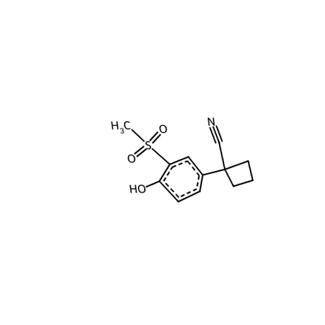 CS(=O)(=O)c1cc(C2(C#N)CCC2)ccc1O